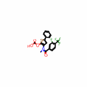 CN(C(=O)c1ccc(C(F)(F)F)c(F)c1)c1cc(-c2ccccc2)sc1OC(=O)O